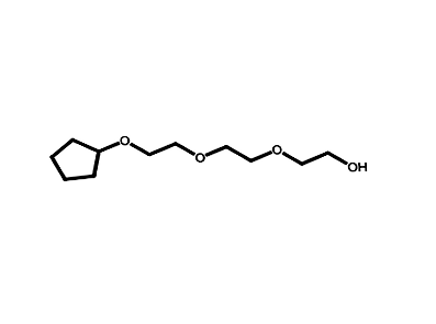 OCCOCCOCCOC1CCCC1